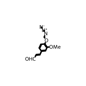 COc1cc(/C=C/C=O)ccc1OCN=[N+]=[N-]